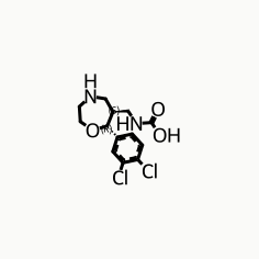 O=C(O)NC[C@@H]1CNCCO[C@H]1c1ccc(Cl)c(Cl)c1